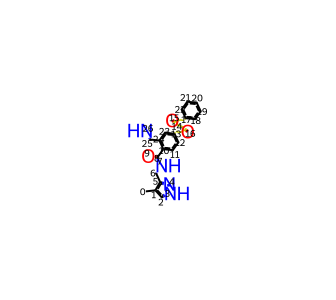 Cc1c[nH]nc1CNC(=O)c1ccc(S(=O)(=O)c2ccccc2)cc1C=N